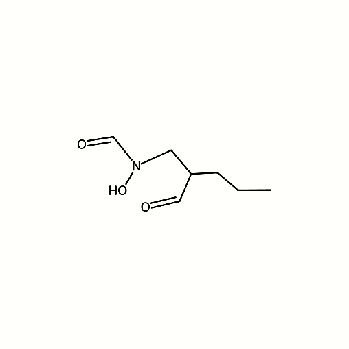 CCCC(C=O)CN(O)C=O